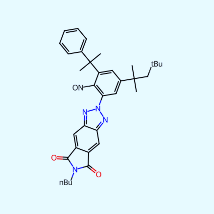 CCCCN1C(=O)c2cc3nn(-c4cc(C(C)(C)CC(C)(C)C)cc(C(C)(C)c5ccccc5)c4N=O)nc3cc2C1=O